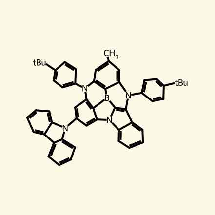 Cc1cc2c3c(c1)N(c1ccc(C(C)(C)C)cc1)c1c4n(c5ccccc15)-c1cc(-n5c6ccccc6c6ccccc65)cc(c1B34)N2c1ccc(C(C)(C)C)cc1